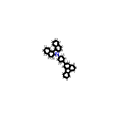 c1ccc2c(c1)-c1cccc3cc(-c4ccc(-n5c6ccc7ccccc7c6c6c7ccccc7ccc65)cc4)cc-2c13